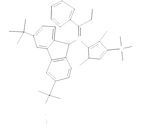 CC/[C](c1ccccc1)=[Zr+2](\[C]1=C(C)C([Si](C)(C)C)=CC1C)[CH]1c2ccc(C(C)(C)C)cc2-c2cc(C(C)(C)C)ccc21.[Cl-].[Cl-]